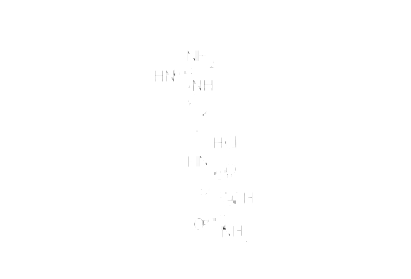 Cl.N=C(N)NCCCCNC(=O)CC(O)C(N)=O